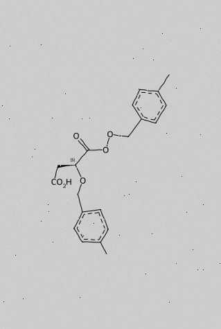 Cc1ccc(COOC(=O)[C@H](CC(=O)O)OCc2ccc(C)cc2)cc1